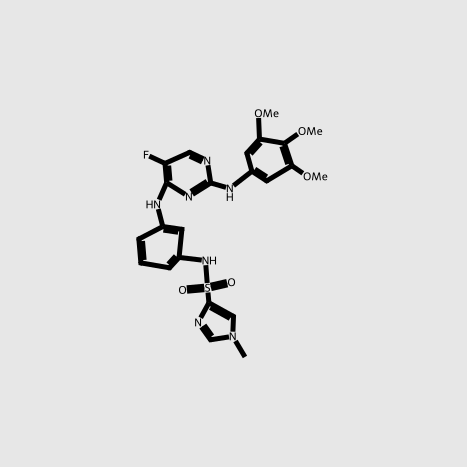 COc1cc(Nc2ncc(F)c(Nc3cccc(NS(=O)(=O)c4cn(C)cn4)c3)n2)cc(OC)c1OC